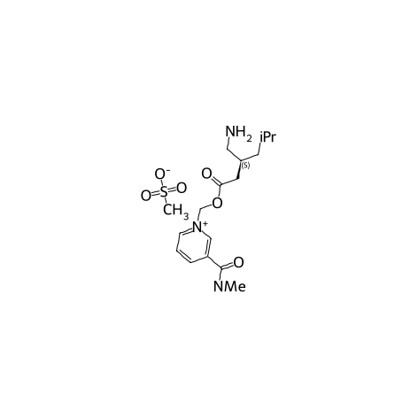 CNC(=O)c1ccc[n+](COC(=O)C[C@@H](CN)CC(C)C)c1.CS(=O)(=O)[O-]